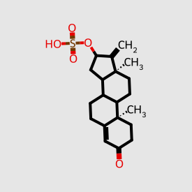 C=C1C(OS(=O)(=O)O)CC2C3CCC4=CC(=O)CC[C@]4(C)C3CC[C@]12C